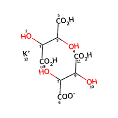 O=C(O)C(O)C(O)C(=O)O.O=C([O-])C(O)C(O)C(=O)O.[K+]